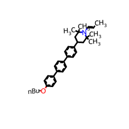 C/C=C/N1C(C)(C)CC(c2ccc(-c3ccc(-c4ccc(OCCCC)cc4)cc3)cc2)CC1(C)C